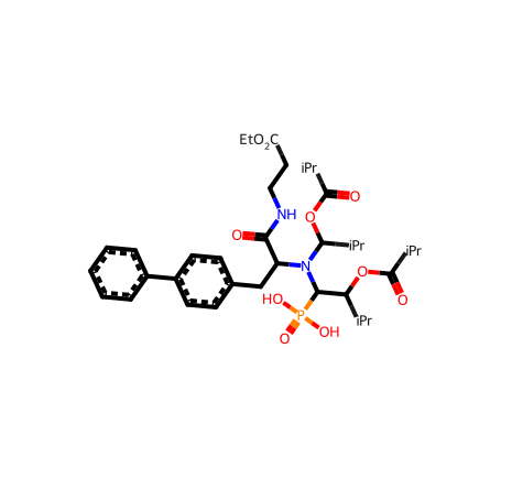 CCOC(=O)CCNC(=O)C(Cc1ccc(-c2ccccc2)cc1)N(C(OC(=O)C(C)C)C(C)C)C(C(OC(=O)C(C)C)C(C)C)P(=O)(O)O